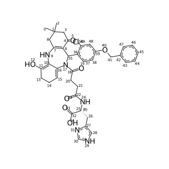 CC1(C)CC(=O)C2=C(C1)NC1=C(O)CCC=C1N(C(=O)CCC(=O)N[C@H](Cc1c[nH]cn1)C(=O)O)C2c1ccc(OCc2ccccc2)cc1Cl